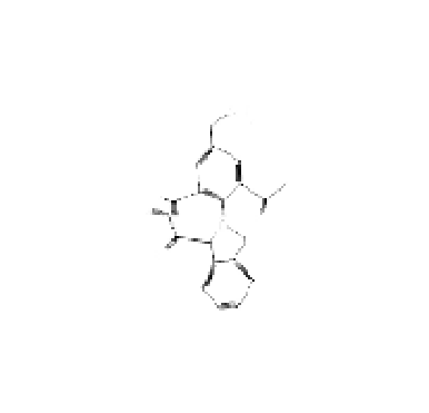 CC(=O)c1cc(CN)cc(C(C)=O)c1N1Cc2ccccc2C1C(=O)C=O